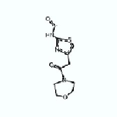 O=[C]Nc1nc(CC(=O)N2CCOCC2)cs1